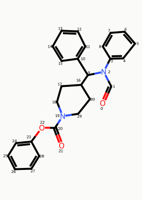 O=CN(c1ccccc1)C(c1ccccc1)C1CCN(C(=O)Oc2ccccc2)CC1